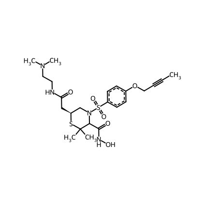 CC#CCOc1ccc(S(=O)(=O)N2C[C@H](CC(=O)NCCN(C)C)SC(C)(C)C2C(=O)NO)cc1